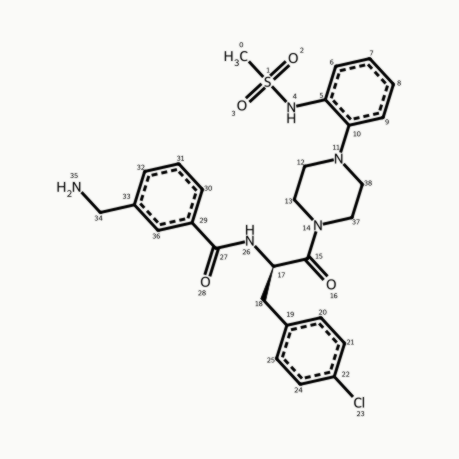 CS(=O)(=O)Nc1ccccc1N1CCN(C(=O)[C@@H](Cc2ccc(Cl)cc2)NC(=O)c2cccc(CN)c2)CC1